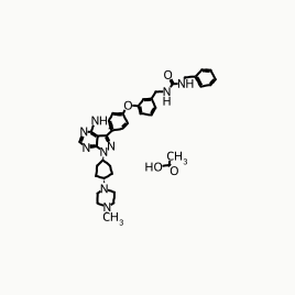 CC(=O)O.CN1CCN([C@H]2CC[C@@H](n3nc(-c4ccc(Oc5cccc(CNC(=O)NCc6ccccc6)c5)cc4)c4c(N)ncnc43)CC2)CC1